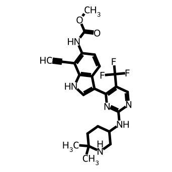 C#Cc1c(NC(=O)OC)ccc2c(-c3nc(NC4CCC(C)(C)NC4)ncc3C(F)(F)F)c[nH]c12